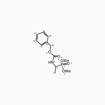 COP(=O)(OC)C(C)NC(=O)OCc1ccccc1